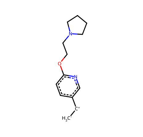 [CH2-][CH+]c1ccc(OCCN2CCCC2)nc1